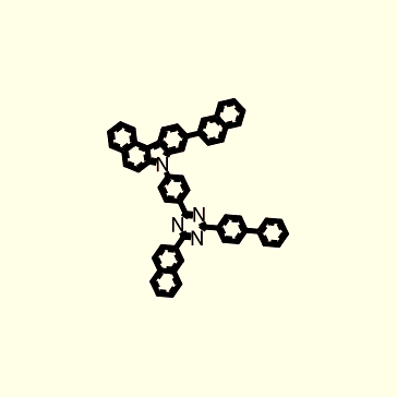 c1ccc(-c2ccc(-c3nc(-c4ccc(-n5c6cc(-c7ccc8ccccc8c7)ccc6c6c7ccccc7ccc65)cc4)nc(-c4ccc5ccccc5c4)n3)cc2)cc1